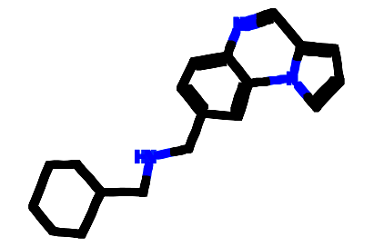 c1cc2cnc3ccc(CNCC4CCCCC4)cc3n2c1